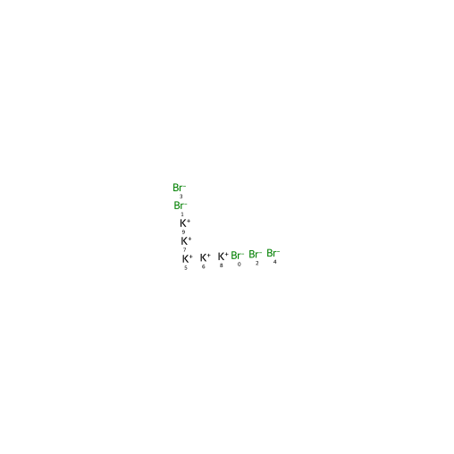 [Br-].[Br-].[Br-].[Br-].[Br-].[K+].[K+].[K+].[K+].[K+]